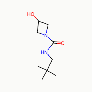 CC(C)(C)CNC(=O)N1CC(O)C1